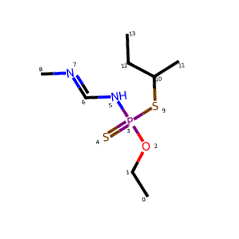 CCOP(=S)(NC=NC)SC(C)CC